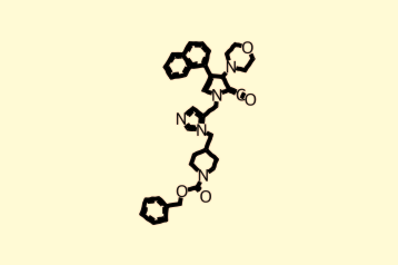 O=C=C1C(N2CCOCC2)C(c2cccc3ccccc23)=CN1Cc1cncn1CC1CCN(C(=O)OCc2ccccc2)CC1